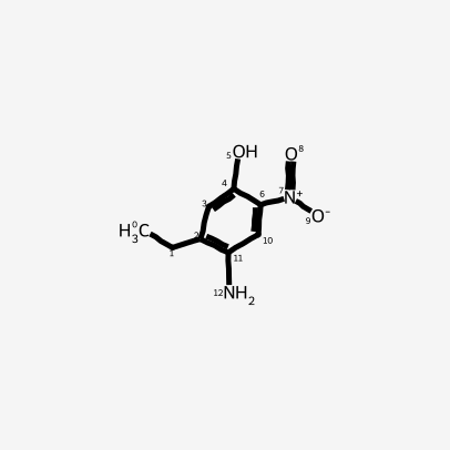 CCc1cc(O)c([N+](=O)[O-])cc1N